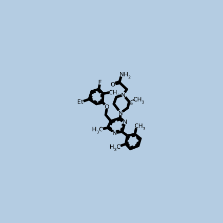 CCc1cc(F)c(C)c(OCc2c(C)nc(-c3c(C)cccc3C)nc2N2CCN(CC(N)=O)[C@H](C)C2)c1